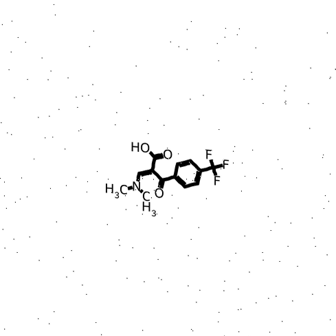 CN(C)/C=C(/C(=O)O)C(=O)c1ccc(C(F)(F)F)cc1